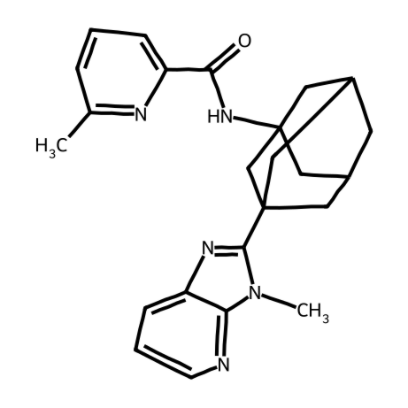 Cc1cccc(C(=O)NC23CC4CC(C2)CC(c2nc5cccnc5n2C)(C4)C3)n1